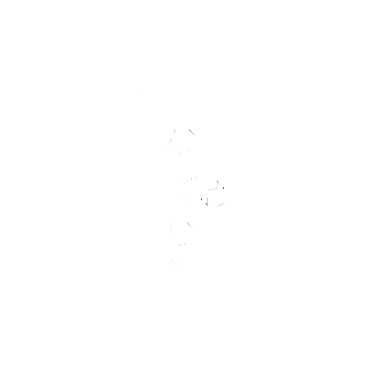 CC(=O)c1ccc(-c2ccc(Cc3ccc(C4CCOCC4)c(C)c3)c3nccn23)cc1